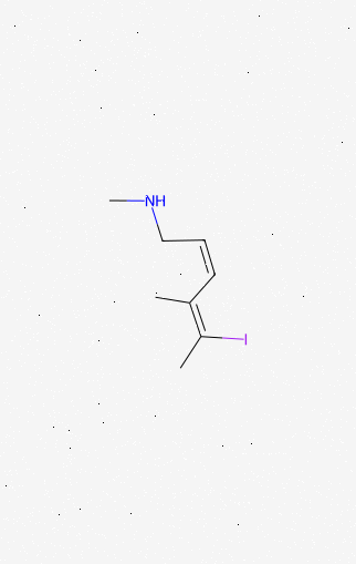 CNC/C=C\C(C)=C(\C)I